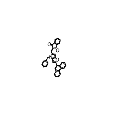 O=C1C(=Cc2cc3oc(-c4cc5ccccc5c5ccccc45)cc3n2Cc2ccccc2)C(=O)c2ccccc21